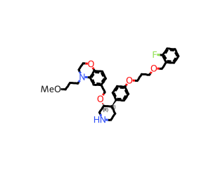 COCCCN1CCOc2ccc(CO[C@H]3CNCC[C@@H]3c3ccc(OCCCOCc4ccccc4F)cc3)cc21